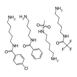 CS(=O)(=O)NCCCCCN.NCCCCCNC(=O)C(F)(F)F.NCCCCCNC(=O)c1ccc(Cl)cc1.NCCCCNC(=O)c1ccccc1